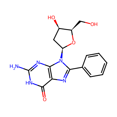 Nc1nc2c(nc(-c3ccccc3)n2[C@H]2C[C@@H](O)[C@@H](CO)O2)c(=O)[nH]1